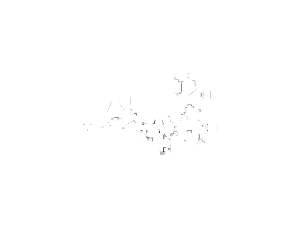 COc1cccc2[nH]c(C(=O)N[C@@H](CC(C)C)C(=O)N[C@@H](C[C@@H]3CCNC3=O)C(=O)COC(=O)c3c(C)ccc(F)c3C)cc12